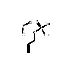 C=CCOP(=O)(O)O.CCOCC